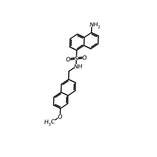 COc1ccc2cc(CNS(=O)(=O)c3cccc4c(N)cccc34)ccc2c1